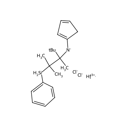 CC(C)(C)C(C)([N-]C1=CC=CC1)C(C)(C)[SiH2]c1ccccc1.[Cl-].[Cl-].[Hf+3]